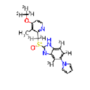 [2H]c1c(-n2cccc2)c([2H])c2nc([S+]([O-])C([2H])([2H])c3nccc(OC([2H])([2H])[2H])c3C)[nH]c2c1[2H]